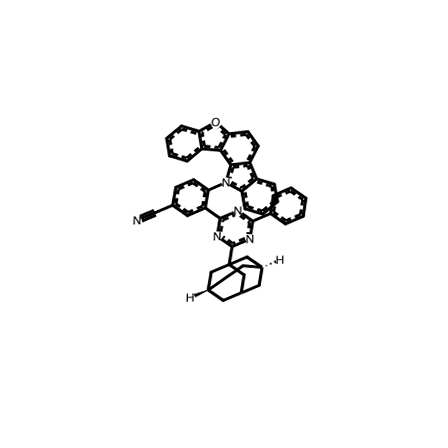 N#Cc1ccc(-n2c3ccccc3c3ccc4oc5ccccc5c4c32)c(-c2nc(-c3ccccc3)nc(C34CC5C[C@H](C3)C[C@H](C5)C4)n2)c1